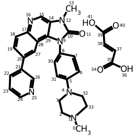 CN1CCN(c2ccc(-n3c(=O)n(C)c4cnc5ccc(-c6cccnc6)cc5c43)cc2)CC1.O=C(O)C=CC(=O)O